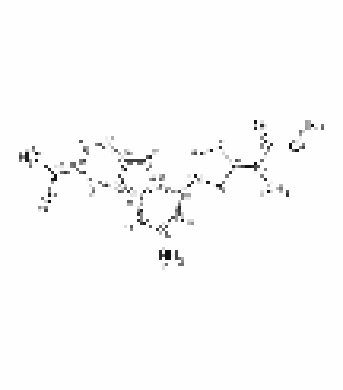 CN(C(=O)OC(C)(C)C)[C@@H]1CCN(c2nc(N)nc3c2oc2ccc([S+](C)[O-])cc23)C1